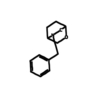 c1ccc(CN2CC3CCC2CO3)cc1